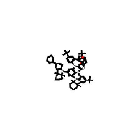 CC(C)(C)c1ccc(N2c3cc(N4c5ccc(-c6ccccc6)cc5C5(C)CCCCC45C)cc4c3B(c3cc(C(C)(C)C)cc5c3N4C3(C)CCCCC53C)c3oc4ccc(C(C)(C)C)cc4c32)c(-c2ccccc2)c1